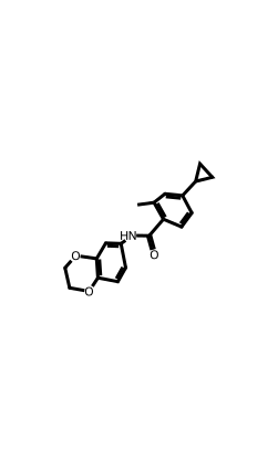 Cc1cc(C2CC2)ccc1C(=O)Nc1ccc2c(c1)OCCO2